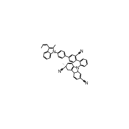 C/C=C\c1c(C)n(-c2ccc(-c3ccc(-c4ccccc4N4C5=C(C[C@@](C)(C#N)C=C5)C5C=CC(C#N)=CC54)c(C#N)c3)cc2)c2ccccc12